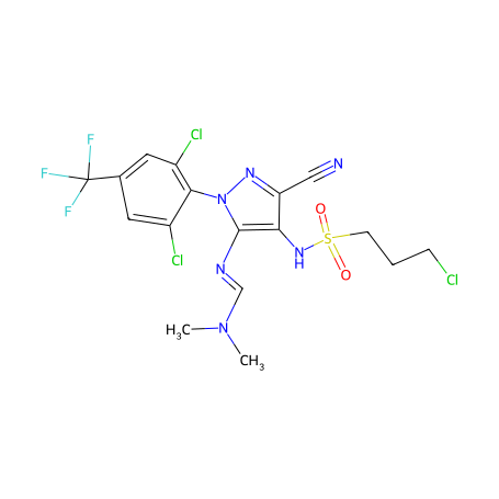 CN(C)C=Nc1c(NS(=O)(=O)CCCCl)c(C#N)nn1-c1c(Cl)cc(C(F)(F)F)cc1Cl